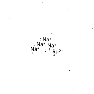 [Na+].[Na+].[Na+].[Na+].[Ru+2]